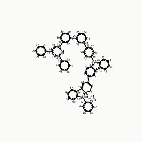 CC12CC=C(c3ccc4c(c3)c3ccccc3n4-c3ccc(-c4cccc(-c5cccc(-c6cc(-c7ccccc7)nc(-c7ccccc7)n6)c5)c4)cc3)C=C1c1ccccc1N2c1ccccc1